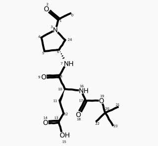 CC(=O)N1CC[C@@H](NC(=O)[C@H](CCC(=O)O)NC(=O)OC(C)(C)C)C1